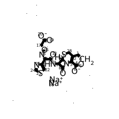 C=CC1=C(C(=O)[O-])N2C(=O)C(NC(=O)/C(=N\OCC(=O)[O-])c3cscn3)[C@H]2SC1.[Na+].[Na+]